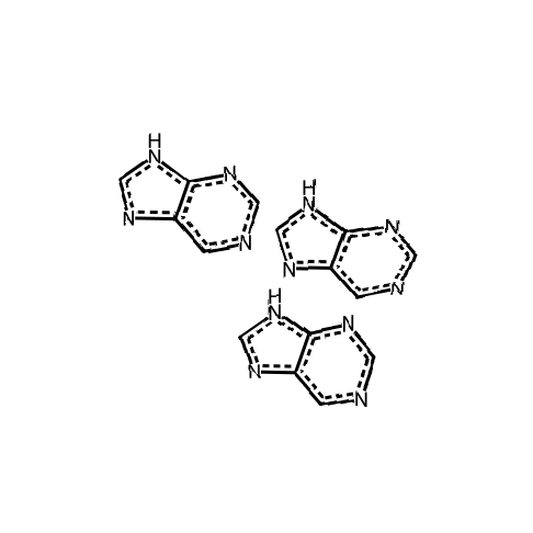 c1ncc2nc[nH]c2n1.c1ncc2nc[nH]c2n1.c1ncc2nc[nH]c2n1